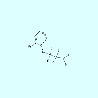 CC(C)c1ccccc1OC(F)(F)C(F)(F)C(F)F